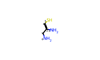 NC/C(N)=C/S